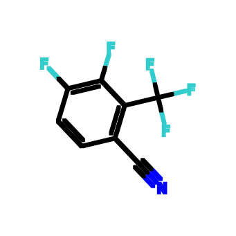 N#Cc1ccc(F)c(F)c1C(F)(F)F